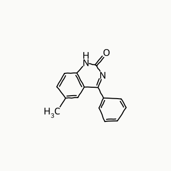 Cc1ccc2[nH]c(=O)nc(-c3ccccc3)c2c1